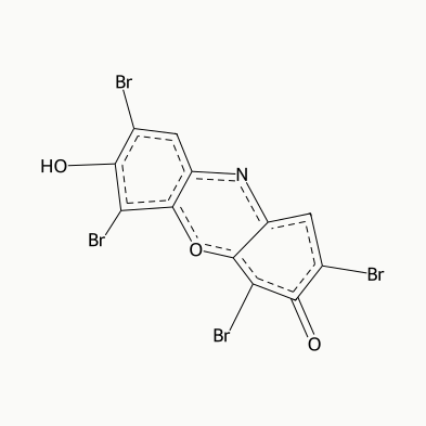 O=c1c(Br)cc2nc3cc(Br)c(O)c(Br)c3oc-2c1Br